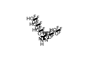 Nc1ncnc2[nH]ncc12.O=C(O)C(F)(F)F.O=C(O)C(F)(F)F.O=C(O)C(F)(F)F.O=C(O)C(F)(F)F.O=C(O)C(F)(F)F